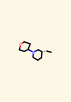 CC[C@@H]1CCCN(C2CCOCC2)C1